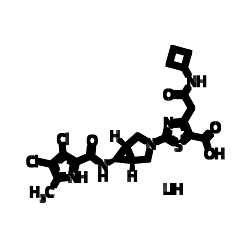 Cc1[nH]c(C(=O)N[C@H]2[C@@H]3CN(c4nc(CC(=O)NC5CCC5)c(C(=O)O)s4)C[C@@H]32)c(Cl)c1Cl.[LiH]